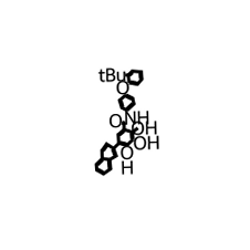 CC(C)(C)c1ccccc1Oc1ccc(NC(=O)c2cc(-c3ccc4ccccc4c3)c(O)c(O)c2O)cc1